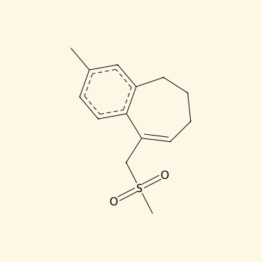 Cc1ccc2c(c1)CCCC=C2CS(C)(=O)=O